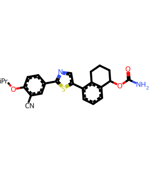 CC(C)Oc1ccc(-c2ncc(-c3cccc4c3CCCC4OC(N)=O)s2)cc1C#N